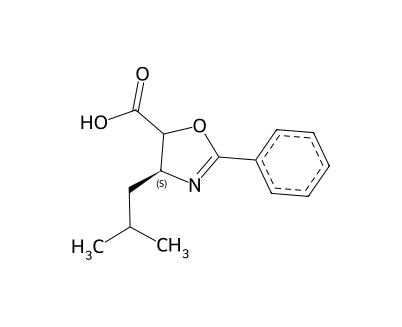 CC(C)C[C@@H]1N=C(c2ccccc2)OC1C(=O)O